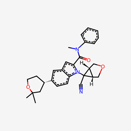 CN(C(=O)c1cc2cc([C@H]3CCOC(C)(C)C3)ccc2n1C1(C#N)[C@@H]2COC[C@@H]21)c1ccccc1